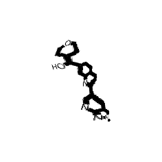 Cn1cc2cc(-c3ccc4ccc(C(O)C5CCOCC5)cc4n3)cnc2n1